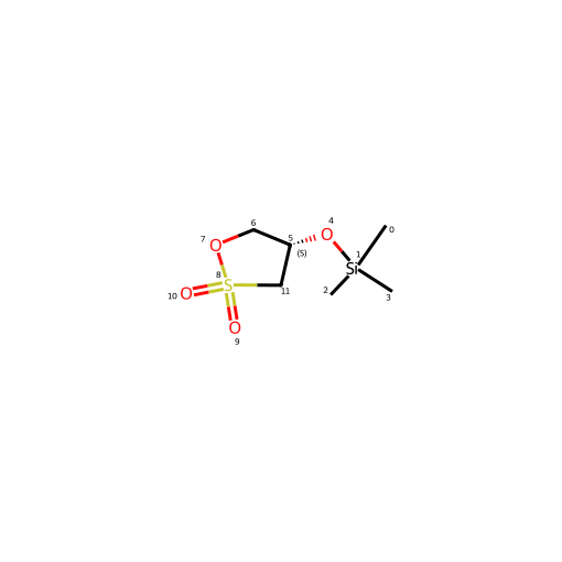 C[Si](C)(C)O[C@H]1COS(=O)(=O)C1